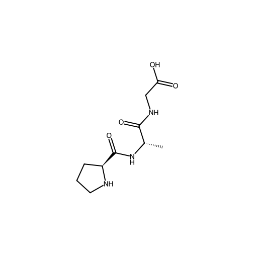 C[C@H](NC(=O)[C@@H]1CCCN1)C(=O)NCC(=O)O